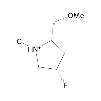 [CH2-][NH+]1C[C@@H](F)C[C@H]1COC